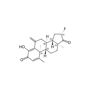 C=C1C[C@@H]2[C@H](CC[C@]3(C)C(=O)[C@@H](F)C[C@@H]23)[C@@]2(C)C(C)=CC(=O)C(O)=C12